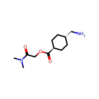 CN(C)C(=O)COC(=O)[C@H]1CC[C@H](CN)CC1